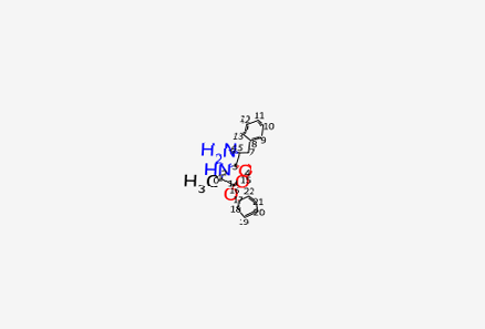 C[C@H](NC(=O)[C@@H](N)Cc1ccccc1)C(=O)Oc1ccccc1